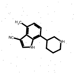 Cc1ccc(C2CCCNC2)c2[nH]cc(C#N)c12